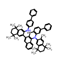 Cc1cc2c(cc1N1c3cc(-c4ccccc4)ccc3Bc3c(-c4cc5c(cc4Nc4ccc(-c6ccccc6)cc4)C(C)(C)CCC5(C)C)cc4ccccc4c31)C(C)(C)CCC2(C)C